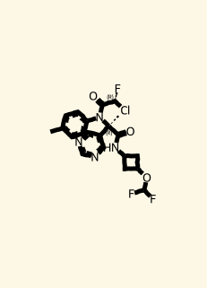 Cc1ccc(N(C(=O)[C@H](F)Cl)[C@@](C)(C(=O)NC2CC(OC(F)F)C2)c2cncnc2)cc1